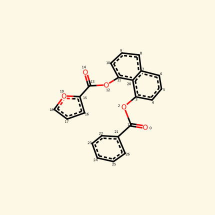 O=C(Oc1cccc2cccc(OC(=O)c3ccco3)c12)c1ccccc1